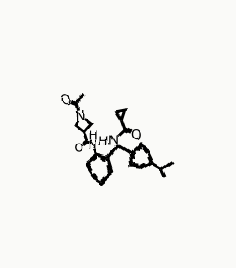 CC(=O)N1CC(C(=O)Nc2ccccc2C(NC(=O)C2CC2)c2ccc(C(C)C)cc2)C1